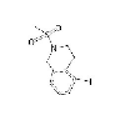 CS(=O)(=O)N1CCc2c(I)cccc2C1